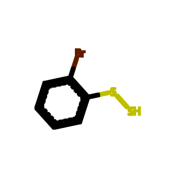 SSc1ccccc1Br